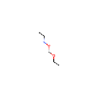 CC[N]OCOCC